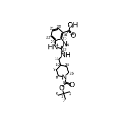 CC(C)(C)OC(=O)N1CCC(CNc2nc3c(C(=O)O)cccc3[nH]2)CC1